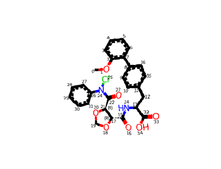 COc1ccccc1-c1ccc(CC(NC(=O)[C@@H]2OCO[C@H]2C(=O)N(Cl)c2ccccc2)C(=O)O)cc1